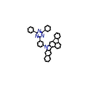 c1ccc(-c2nc(-c3ccccc3)nc(-c3cccc(-n4c5cc6ccccc6cc5c5c6cccc7c6c(cc54)-c4ccccc4-7)c3)n2)cc1